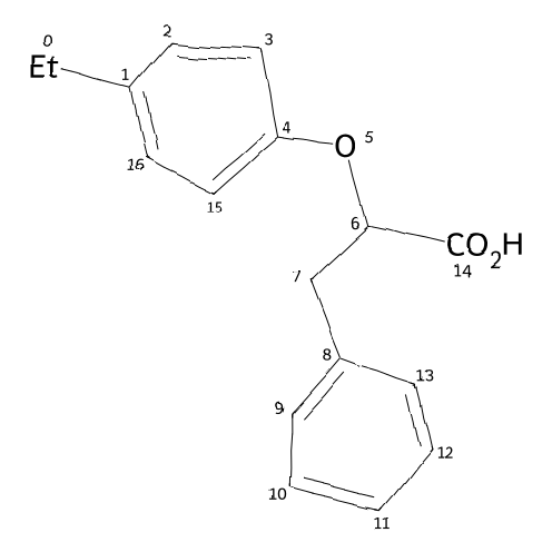 CCc1ccc(OC(Cc2ccccc2)C(=O)O)cc1